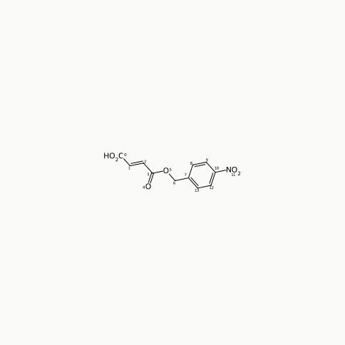 O=C(O)C=CC(=O)OCc1ccc([N+](=O)[O-])cc1